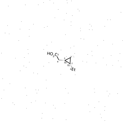 CC[C@H]1C[C@H]1CC(=O)O